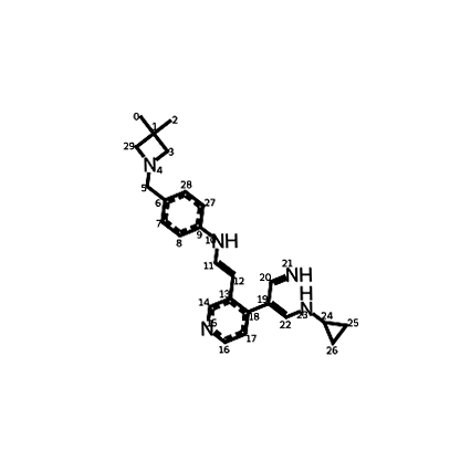 CC1(C)CN(Cc2ccc(N/C=C/c3cnccc3/C(C=N)=C/NC3CC3)cc2)C1